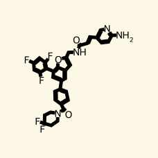 Nc1ccc(/C=C/C(=O)NCc2cc3cc(-c4ccc(C(=O)N5CCC(F)(F)CC5)cc4)cc(-c4c(F)cc(F)cc4F)c3o2)cn1